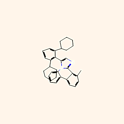 Cc1cccc2c3ccccc3n3c(-c4c(C5CCCCC5)cccc4C4CCCCC4)cnc3c12